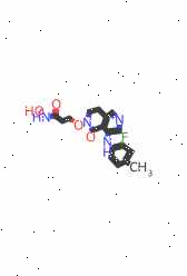 Cc1ccc(Nc2cncc3c2C(=O)N(OCCC(=O)NO)CC3)c(F)c1